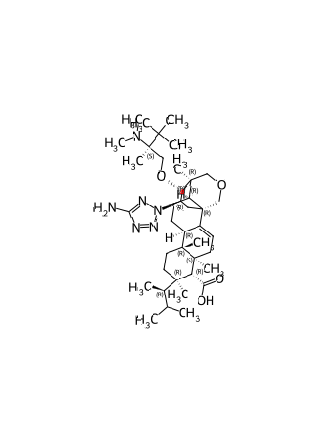 CC(C)[C@@H](C)[C@@]1(C)CC[C@]2(C)[C@H]3CC[C@@H]4[C@@]5(COC[C@]4(C)[C@@H](OC[C@@](C)(N(C)C)C(C)(C)C)[C@H](n4nnc(N)n4)C5)C3=CC[C@@]2(C)[C@@H]1C(=O)O